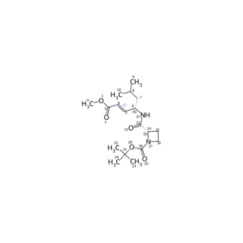 COC(=O)/C=C/[C@H](CC(C)C)NC(=O)[C@@H]1CCN1C(=O)OC(C)(C)C